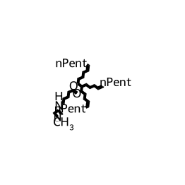 CCCCC/C=C\CCCC(CCC/C=C\CCCCC)C(CCC/C=C\CCCCC)OC(=O)CCCCNC1CN(C)C1